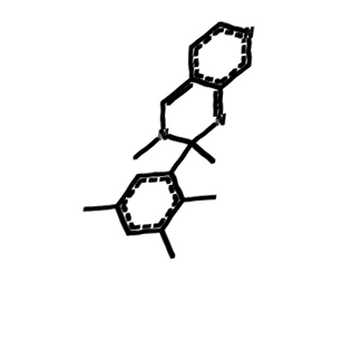 Cc1cc(C)c(C)c(C2(C)N=c3cnccc3=CN2C)c1